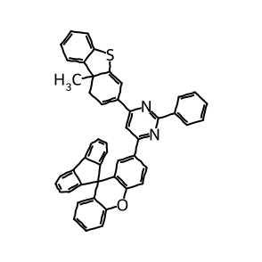 CC12CC=C(c3cc(-c4ccc5c(c4)C4(c6ccccc6O5)c5ccccc5-c5ccccc54)nc(-c4ccccc4)n3)C=C1Sc1ccccc12